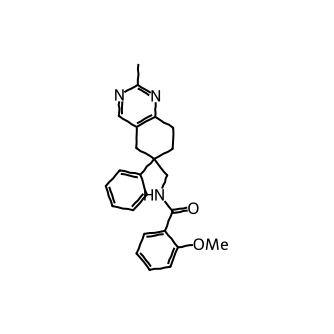 COc1ccccc1C(=O)NCC1(c2ccccc2)CCc2nc(C)ncc2C1